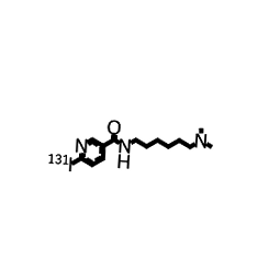 CN(C)CCCCCCNC(=O)c1ccc([131I])nc1